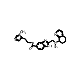 CCN(Cc1nc2cc(C(=O)NCCc3cncn3C)ccc2[nH]1)C1CCCc2cccnc21